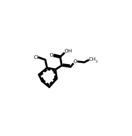 CCOC=C(C(=O)O)c1ccccc1CCl